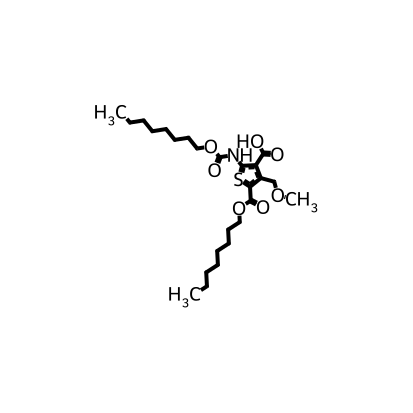 CCCCCCCCOC(=O)Nc1sc(C(=O)OCCCCCCCC)c(COC)c1C(=O)O